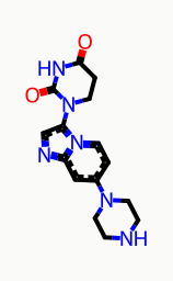 O=C1CCN(c2cnc3cc(N4CCNCC4)ccn23)C(=O)N1